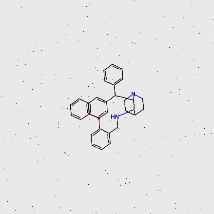 c1ccc(Cc2ccccc2CNC2C3CCN(CC3)C2C(c2ccccc2)c2ccccc2)cc1